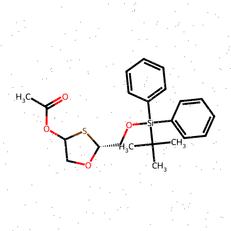 CC(=O)OC1CO[C@@H](CO[Si](c2ccccc2)(c2ccccc2)C(C)(C)C)S1